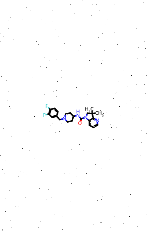 CC1(C)CN(C(=O)NC2CCN(Cc3ccc(F)c(F)c3)CC2)c2cccnc21